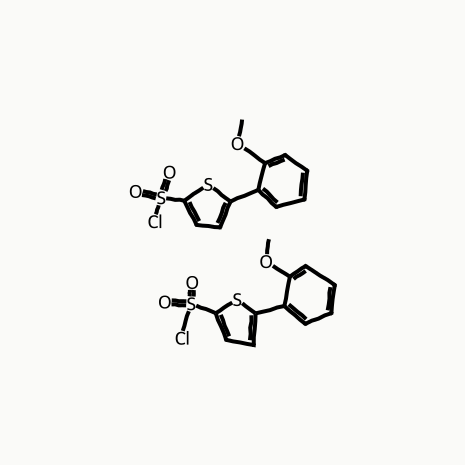 COc1ccccc1-c1ccc(S(=O)(=O)Cl)s1.COc1ccccc1-c1ccc(S(=O)(=O)Cl)s1